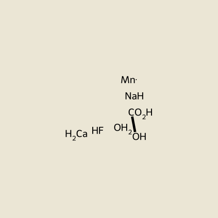 F.O.O=C(O)O.[CaH2].[Mn].[NaH]